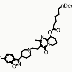 CCCCCCCCCCCCCCCC(=O)O[C@@H]1CCCn2c1nc(C)c(CCN1CCC(c3noc4cc(F)ccc34)CC1)c2=O